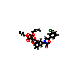 CCOC(=O)C1(C(=O)OCC)Oc2ccc3c(c2O1)CC(N1CC(c2cccc(Cl)c2)OC1=O)C3